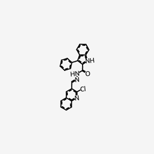 O=C(NN=Cc1cc2ccccc2nc1Cl)c1[nH]c2ccccc2c1-c1ccccc1